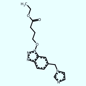 CCOC(=O)CCCOn1nnc2ccc(Cn3ccnc3)cc21